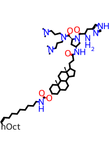 CCCCCCCC/C=C\CCCCCCCCNC(=O)O[C@@H]1CC[C@@]2(C)C(CCC3C2CC[C@]2(C)C(CCC(=O)N[C@H]4C[C@@H](C(=O)N(CCCN(C)C)CCCN(C)C)N(C(=O)C(N)Cc5c[nH]cn5)C4)CCC32)C1